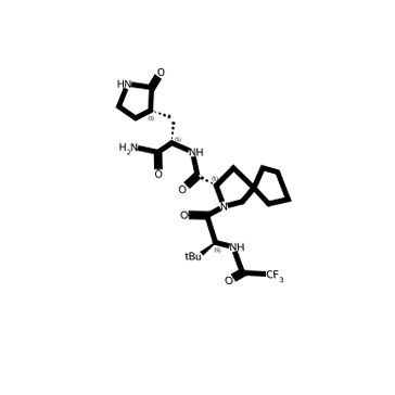 CC(C)(C)[C@H](NC(=O)C(F)(F)F)C(=O)N1CC2(CCCC2)C[C@H]1C(=O)N[C@@H](C[C@@H]1CCNC1=O)C(N)=O